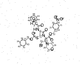 CC(=O)NC1C(=O)N(C(C(=O)OCc2ccc([N+](=O)[O-])cc2)=C(CBr)N2CCOCC2)C1SC(=O)OCc1ccccc1.c1cc2cc(c1)O2